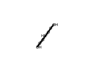 OCCCCOCCCCOCCCCNCCCCOCCCCOCCCCO